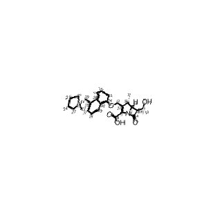 C[C@@H](O)[C@H]1C(=O)N2C(C(=O)O)=C(COc3cccc4c(C[N+]5(C)CCCC5)cccc34)[C@H](C)[C@H]12